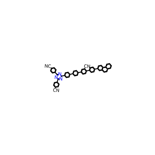 N#Cc1ccc(-c2nc(-c3ccc(C#N)cc3)nc(-c3ccc(-c4ccc(-c5ccc(-c6ccc(-c7ccc8c(ccc9ccccc98)c7)cc6)c(C#N)c5)cc4)cc3)n2)cc1